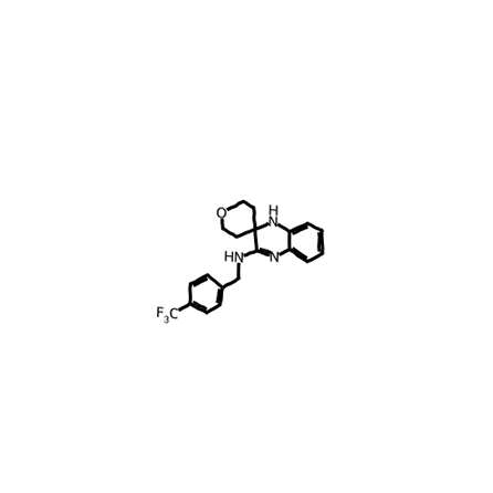 FC(F)(F)c1ccc(CNC2=Nc3ccccc3NC23CCOCC3)cc1